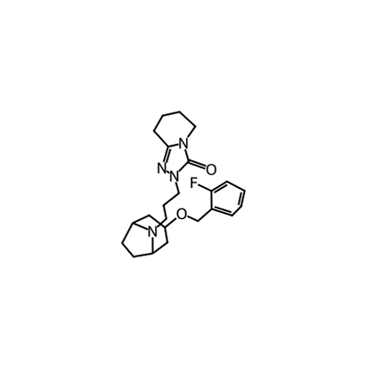 O=c1n(CCCN2C3CCC2CC(OCc2ccccc2F)C3)nc2n1CCCC2